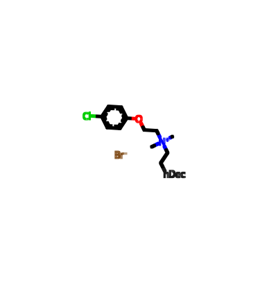 CCCCCCCCCCCC[N+](C)(C)CCOc1ccc(Cl)cc1.[Br-]